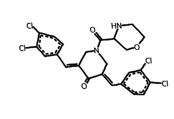 O=C1/C(=C/c2ccc(Cl)c(Cl)c2)CN(C(=O)C2COCCN2)C/C1=C\c1ccc(Cl)c(Cl)c1